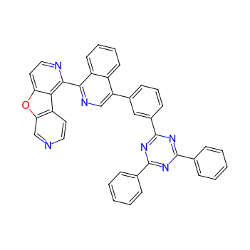 c1ccc(-c2nc(-c3ccccc3)nc(-c3cccc(-c4cnc(-c5nccc6oc7cnccc7c56)c5ccccc45)c3)n2)cc1